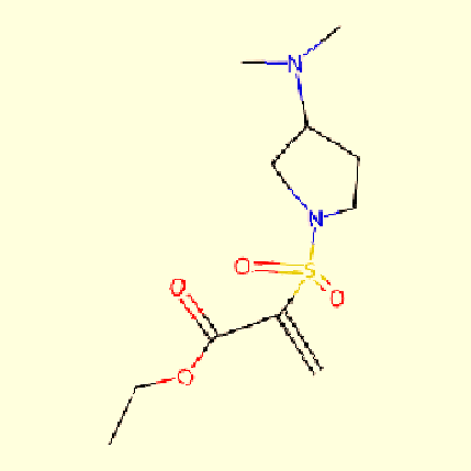 C=C(C(=O)OCC)S(=O)(=O)N1CCC(N(C)C)C1